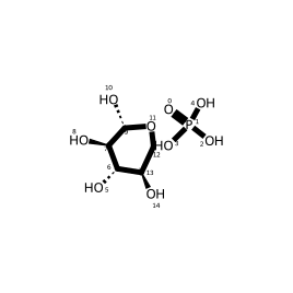 O=P(O)(O)O.O[C@@H]1[C@@H](O)[C@H](O)OC[C@H]1O